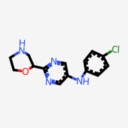 Clc1ccc(Nc2cnc(C3CNCCO3)nc2)cc1